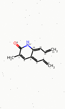 C=C/C=c1/cc(C)c(=O)[nH]/c1=C/C=C